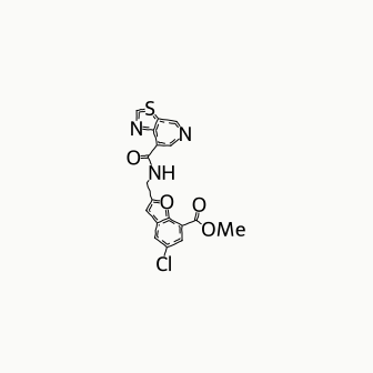 COC(=O)c1cc(Cl)cc2cc(CNC(=O)c3cncc4scnc34)oc12